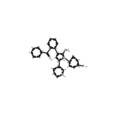 Nc1c(-c2ccccc2C(=O)c2ccccc2)cc(-c2cccnc2)n1-c1ccc(F)cc1